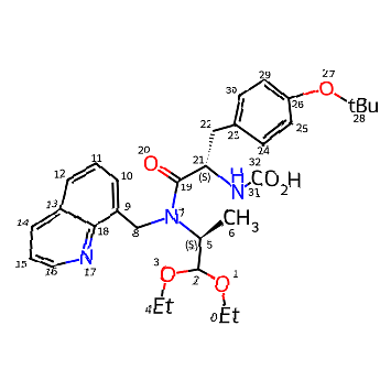 CCOC(OCC)[C@H](C)N(Cc1cccc2cccnc12)C(=O)[C@H](Cc1ccc(OC(C)(C)C)cc1)NC(=O)O